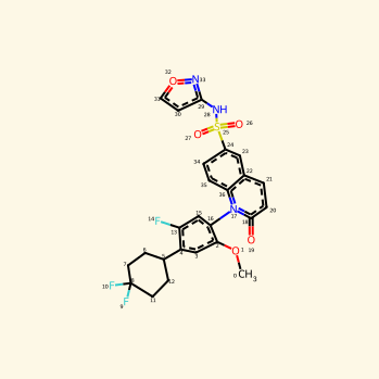 COc1cc(C2CCC(F)(F)CC2)c(F)cc1-n1c(=O)ccc2cc(S(=O)(=O)Nc3ccon3)ccc21